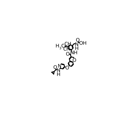 CC(C)(C)c1cc(CNC(=O)O)cc(NC(=O)C2=Cc3cc(Oc4ccnc(NC(=O)C5CC5)c4)ccc3OC2)c1